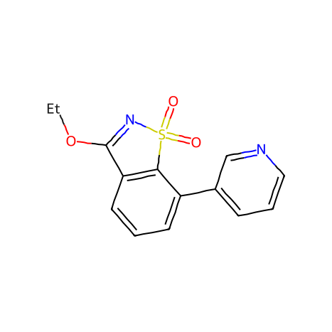 CCOC1=NS(=O)(=O)c2c1cccc2-c1cccnc1